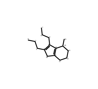 CCCC1=C(CCC)C2=C([CH]1)CCCC2C